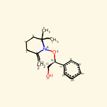 C=C1CCCC(C)(C)N1O[C@H](CO)c1ccccc1